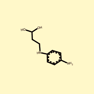 Nc1ccc(NCCC(O)O)cc1